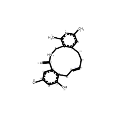 Cc1cc2c(c(C)n1)CNC(=O)c1cc(Cl)cc(O)c1C/C=C/CC2